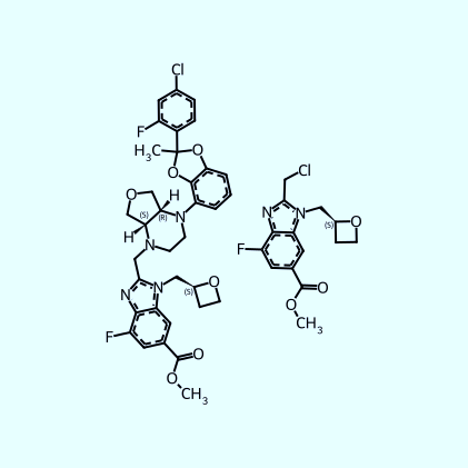 COC(=O)c1cc(F)c2nc(CCl)n(C[C@@H]3CCO3)c2c1.COC(=O)c1cc(F)c2nc(CN3CCN(c4cccc5c4OC(C)(c4ccc(Cl)cc4F)O5)[C@H]4COC[C@H]43)n(C[C@@H]3CCO3)c2c1